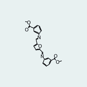 COC(=O)c1cccc(N=Cc2ccc(C=Nc3cccc(C(=O)OC)c3)o2)c1